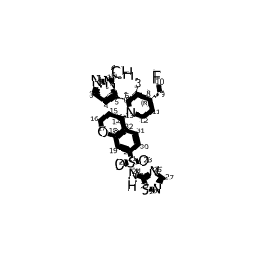 Cn1nccc1[C@@H]1C[C@H](CF)CCN1[C@H]1CCOc2cc(S(=O)(=O)Nc3ncns3)ccc21